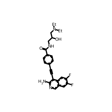 CCN(CC)CC(O)CNC(=O)c1ccc(C#Cc2c(N)ncc3cc(F)c(F)cc23)cc1